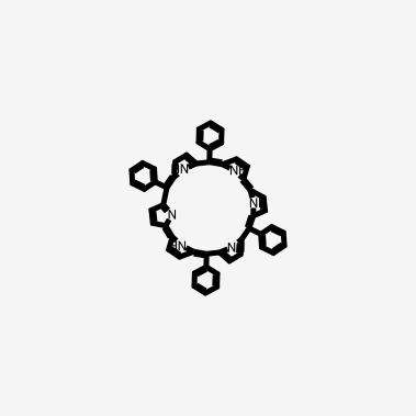 C1=CC2=c3ccc([nH]3)=C(c3ccccc3)c3ccc([nH]3)C(c3ccccc3)=c3ccc([nH]3)=c3ccc([nH]3)=C(c3ccccc3)C3=CCC(=C(c4ccccc4)C1=N2)N3